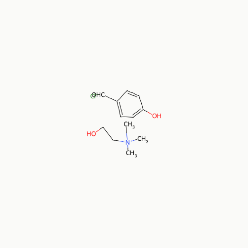 C[N+](C)(C)CCO.O=Cc1ccc(O)cc1.[Cl-]